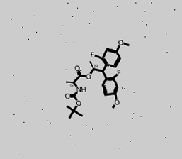 COc1ccc(C(c2ccc(OC)cc2F)[C@H](C)OC(=O)[C@H](C)NC(=O)OC(C)(C)C)c(F)c1